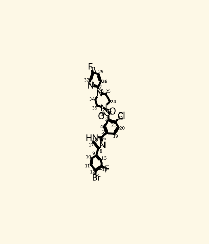 O=S(=O)(c1cc(-c2nc(-c3ccc(Br)c(F)c3)c[nH]2)ccc1Cl)N1CCN(c2ccc(F)cn2)CC1